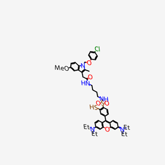 CCN(CC)c1ccc2c(-c3ccc(S(=O)(=O)NCCCCNC(=O)Cc4c(C)n(COc5ccc(Cl)cc5)c5ccc(OC)cc45)c(S)c3)c3ccc(=[N+](CC)CC)cc-3oc2c1